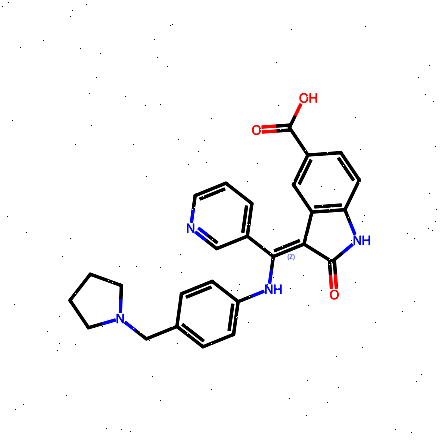 O=C1Nc2ccc(C(=O)O)cc2/C1=C(/Nc1ccc(CN2CCCC2)cc1)c1cccnc1